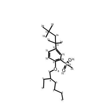 CCCCC(CC)COc1ccc(C(C)(C)CC(C)(C)C)cc1S(C)(=O)=O